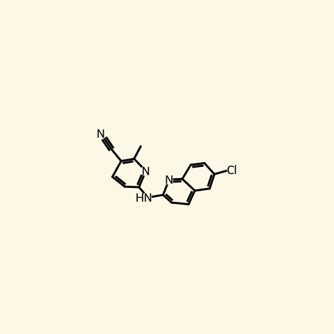 Cc1nc(Nc2ccc3cc(Cl)ccc3n2)ccc1C#N